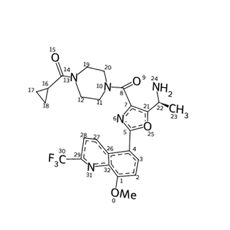 COc1ccc(-c2nc(C(=O)N3CCN(C(=O)C4CC4)CC3)c([C@H](C)N)o2)c2ccc(C(F)(F)F)nc12